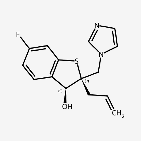 C=CC[C@]1(Cn2ccnc2)Sc2cc(F)ccc2[C@@H]1O